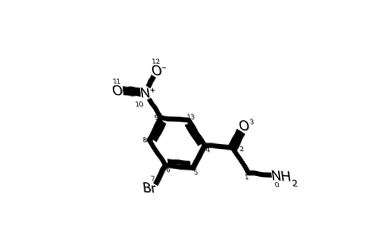 NCC(=O)c1cc(Br)cc([N+](=O)[O-])c1